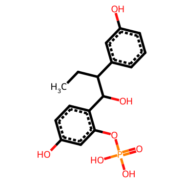 CCC(c1cccc(O)c1)C(O)c1ccc(O)cc1OP(=O)(O)O